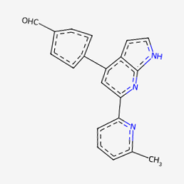 Cc1cccc(-c2cc(-c3ccc(C=O)cc3)c3cc[nH]c3n2)n1